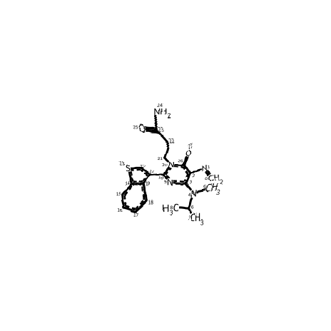 C=Nc1c(N(C)C(C)C)nc(-c2csc3ccccc23)n(CCC(N)=O)c1=O